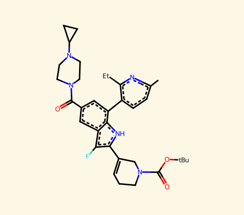 CCc1nc(C)ccc1-c1cc(C(=O)N2CCN(C3CC3)CC2)cc2c(F)c(C3=CCCN(C(=O)OC(C)(C)C)C3)[nH]c12